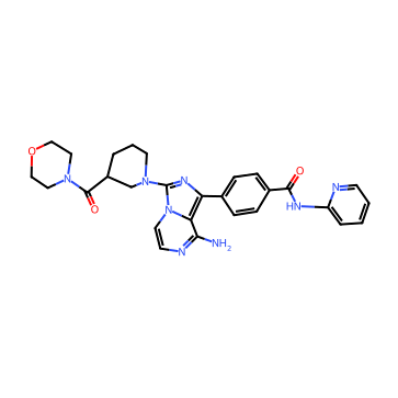 Nc1nccn2c(N3CCCC(C(=O)N4CCOCC4)C3)nc(-c3ccc(C(=O)Nc4ccccn4)cc3)c12